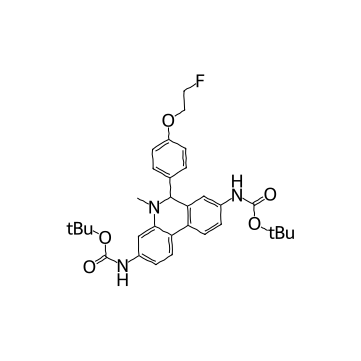 CN1c2cc(NC(=O)OC(C)(C)C)ccc2-c2ccc(NC(=O)OC(C)(C)C)cc2C1c1ccc(OCCF)cc1